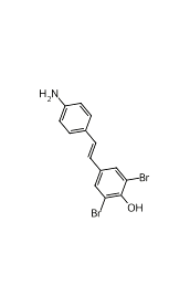 Nc1ccc(C=Cc2cc(Br)c(O)c(Br)c2)cc1